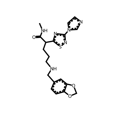 CNC(=O)C(CCCNCc1ccc2c(c1)OCO2)c1nc(-n2ccnc2)ns1